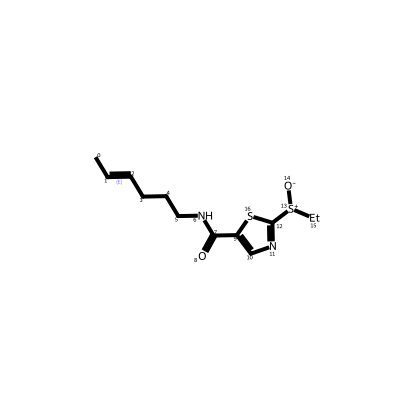 C/C=C/CCCNC(=O)c1cnc([S+]([O-])CC)s1